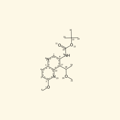 COc1ccc2ncc(NC(=O)OC(C)(C)C)c(C(C)OC)c2n1